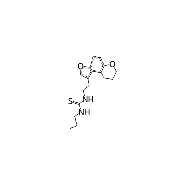 CCCNC(=S)NCCc1coc2ccc3c(c12)CCCO3